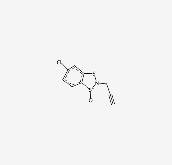 C#CCN1Sc2cc(Cl)ccc2[S+]1[O-]